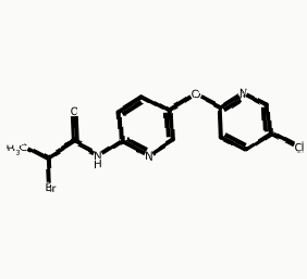 CC(Br)C(=O)Nc1ccc(Oc2ccc(Cl)cn2)cn1